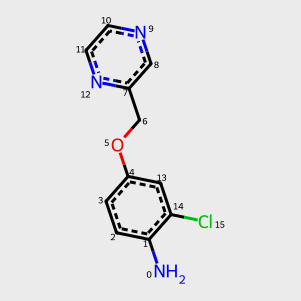 Nc1ccc(OCc2cnccn2)cc1Cl